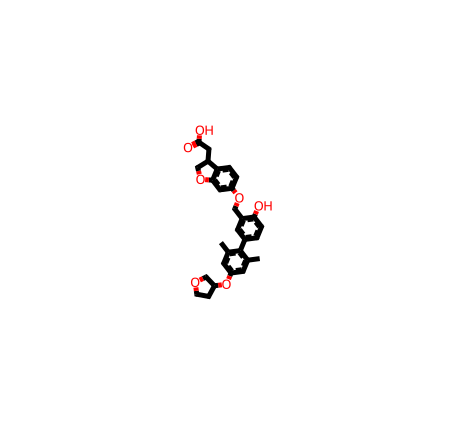 Cc1cc(OC2CCOC2)cc(C)c1-c1ccc(O)c(COc2ccc3c(c2)OCC3CC(=O)O)c1